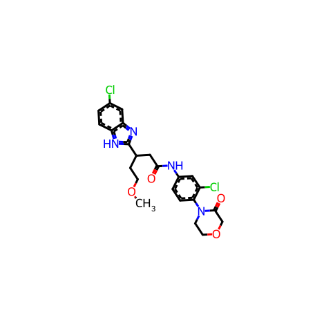 COCCC(CC(=O)Nc1ccc(N2CCOCC2=O)c(Cl)c1)c1nc2cc(Cl)ccc2[nH]1